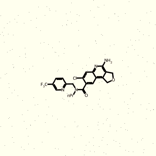 CCCN(Cc1ccc(C(F)(F)F)cn1)C(=O)c1cc2c3c(c(N)nc2cc1Cl)COC3